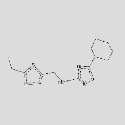 CCc1ccc(CNc2nc(C3CCCCC3)cs2)s1